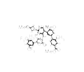 COC(=O)c1ccc(-c2ccc(OC)c(-c3cnc(N4CC(OC)C4)nc3CN3C(=O)O[C@H](c4cc(C(F)(F)F)cc(C(F)(F)F)c4)[C@@H]3C)c2)c(C)c1